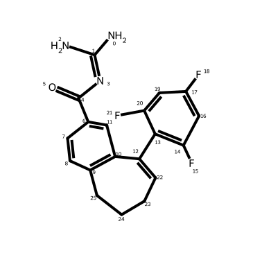 NC(N)=NC(=O)c1ccc2c(c1)C(c1c(F)cc(F)cc1F)=CCCC2